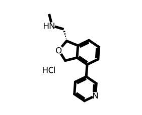 CNC[C@H]1OCc2c(-c3cccnc3)cccc21.Cl